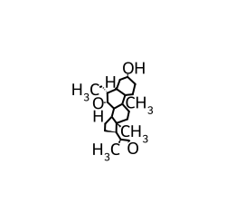 CC[C@H]1[C@@H](O)C2C3CC[C@H]([C@H](C)C=O)[C@@]3(C)CCC2[C@@]2(C)CC[C@@H](O)C[C@@H]12